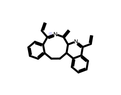 C=CC1=NC2C(=C)/N=C(/C=C)c3ccccc3CCC2c2ccccc21